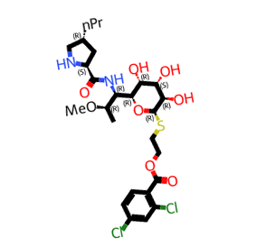 CCC[C@H]1CN[C@H](C(=O)N[C@@H]([C@H]2O[C@H](SCCOC(=O)c3ccc(Cl)cc3Cl)[C@H](O)[C@@H](O)[C@H]2O)[C@@H](C)OC)C1